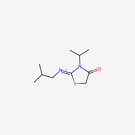 CC(C)C/N=C1\SCC(=O)N1C(C)C